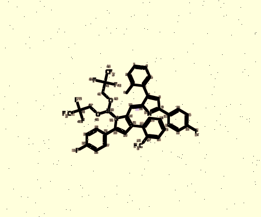 Cc1ccccc1C1=CC(c2ccc(F)cc2)=N/C1=C\c1c(-c2ccccc2C(F)(F)F)cc(-c2ccc(F)cc2)n1B(OCC(F)(F)C(F)(F)F)OCC(F)(F)C(F)(F)F